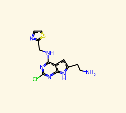 NCCc1cc2c(NCc3nccs3)nc(Cl)nc2[nH]1